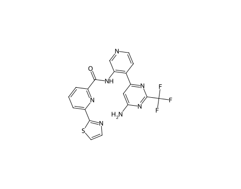 Nc1cc(-c2ccncc2NC(=O)c2cccc(-c3nccs3)n2)nc(C(F)(F)F)n1